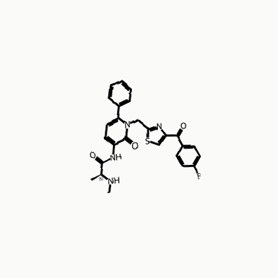 CN[C@@H](C)C(=O)Nc1ccc(-c2ccccc2)n(Cc2nc(C(=O)c3ccc(F)cc3)cs2)c1=O